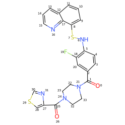 O=C(c1ccc(NSc2cccc3cccnc23)c(F)c1)N1CCN(C(=O)c2cscn2)CC1